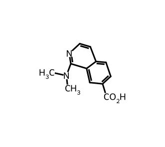 CN(C)c1nccc2ccc(C(=O)O)cc12